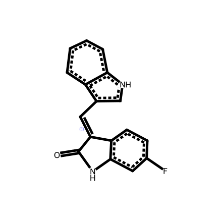 O=C1Nc2cc(F)ccc2/C1=C\c1c[nH]c2ccccc12